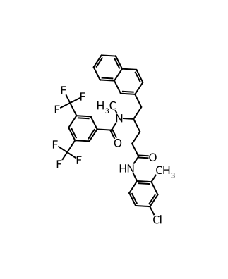 Cc1cc(Cl)ccc1NC(=O)CCC(Cc1ccc2ccccc2c1)N(C)C(=O)c1cc(C(F)(F)F)cc(C(F)(F)F)c1